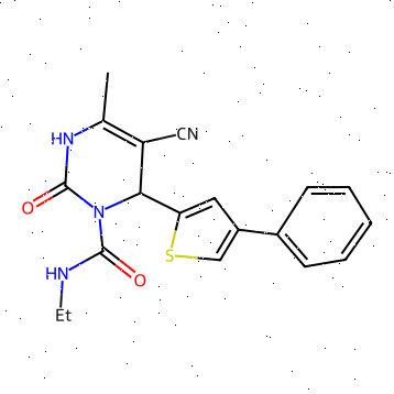 CCNC(=O)N1C(=O)NC(C)=C(C#N)C1c1cc(-c2ccccc2)cs1